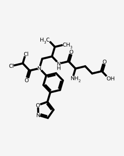 CC(C)C(CN(C(=O)C(Cl)Cl)c1cccc(-c2ccno2)c1)NC(=O)C(N)CCC(=O)O